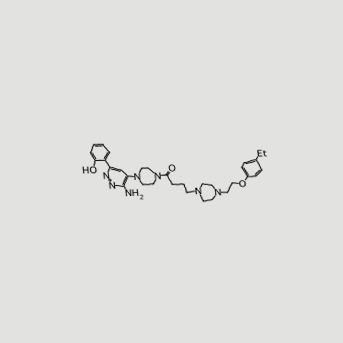 CCc1ccc(OCCN2CCN(CCCC(=O)N3CCN(c4cc(-c5ccccc5O)nnc4N)CC3)CC2)cc1